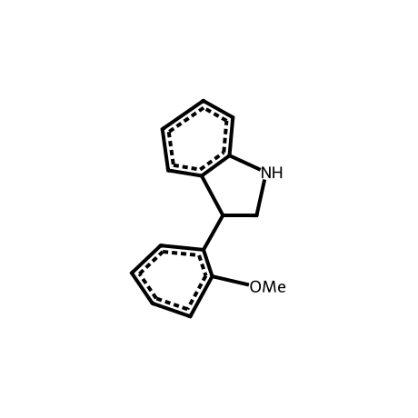 COc1ccccc1C1CNc2ccccc21